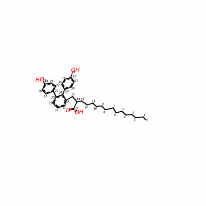 CCCCCCCCCCCCCCC(Cc1cccc(-c2ccc(O)cc2)c1-c1ccc(O)cc1)C(=O)O